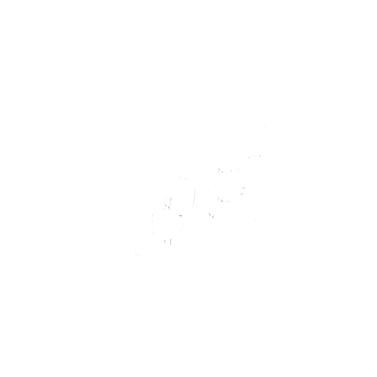 O=C(Nc1cccc(Cl)c1Cl)c1nn2c(C(F)(F)F)cc(-c3ccccc3)nc2c1Cl